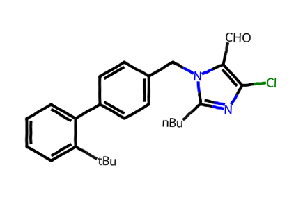 CCCCc1nc(Cl)c(C=O)n1Cc1ccc(-c2ccccc2C(C)(C)C)cc1